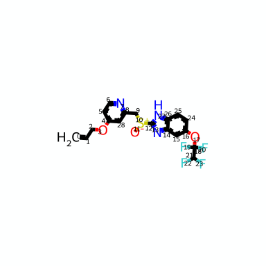 C=CCOc1ccnc(C[S+]([O-])c2nc3cc(OC(F)(F)C(F)F)ccc3[nH]2)c1